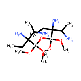 CCC(N)(C(C)N)[Si](OC)(OC)O[Si](OC)(OC)C(N)(CC)C(C)N